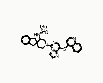 CC(C)(C)[S@@+]([O-])NC1CN(c2ncc(Sc3ccnc4ccccc34)c3nccn23)CCC12Cc1ccccc1C2